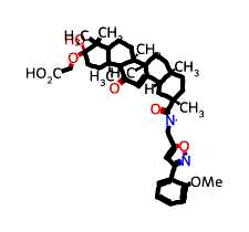 COc1ccccc1-c1cc(C[N]C(=O)[C@@]2(C)CC[C@]3(C)CC[C@]4(C)C(=CC(=O)C5[C@@]6(C)CC[C@](O)(OCC(=O)O)C(C)(C)C6CC[C@]54C)[C@H]3C2)on1